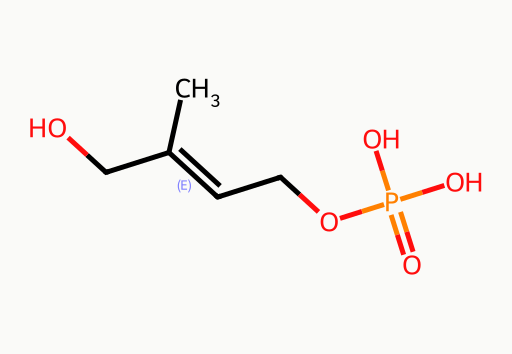 C/C(=C\COP(=O)(O)O)CO